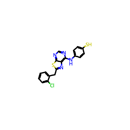 Sc1ccc(Nc2ncnc3sc(Cc4ccccc4Cl)nc23)cc1